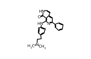 CN(C)CCc1ccc(Nc2nc(-c3ccccc3)cc3cc[nH]c(=O)c23)cc1